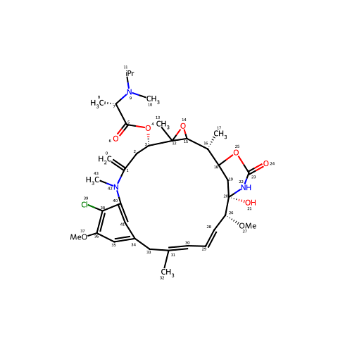 C=C1C[C@H](OC(=O)[C@H](C)N(C)C(C)C)C2(C)OC2[C@H](C)C2C[C@@](O)(NC(=O)O2)[C@H](OC)/C=C/C=C(\C)Cc2cc(OC)c(Cl)c(c2)N1C